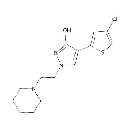 Oc1nn(CCN2CCCCC2)cc1-c1cc(Cl)cs1